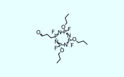 CCCOP1(F)=NP(F)(CCC=O)=NP(F)(OCCC)=NP(F)(OCCC)=N1